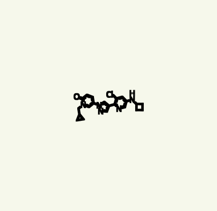 O=c1ccc(-n2cc(-c3ncc(NC4CCC4)cc3Cl)cn2)cn1CC1CC1